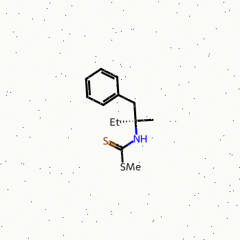 CC[C@@](C)(Cc1ccccc1)NC(=S)SC